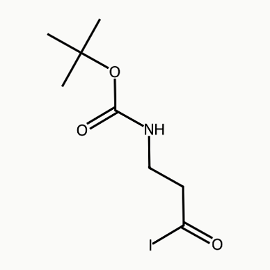 CC(C)(C)OC(=O)NCCC(=O)I